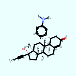 CCN(CC)c1ccc([C@H]2C[C@@]3(C)[C@@H](CC[C@@]3(O)C#CC(F)(F)F)[C@@H]3CCC4=CC(=O)CC[C@@H]4[C@H]32)cc1